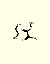 C=C(C)C(=O)OOC.OCCO